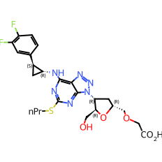 CCCSc1nc(N[C@@H]2C[C@H]2c2ccc(F)c(F)c2)c2nnn([C@@H]3C[C@H](COCC(=O)O)O[C@H]3CO)c2n1